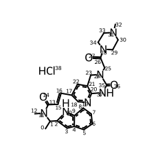 CC(c1cc2ccccc2[nH]1)N(C)C(=O)/C=C/c1cnc2c(c1)CN(CC(=O)N1CCN(C)CC1)C(=O)N2.Cl